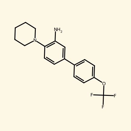 Nc1cc(-c2ccc(OC(F)(F)F)cc2)ccc1N1CCCCC1